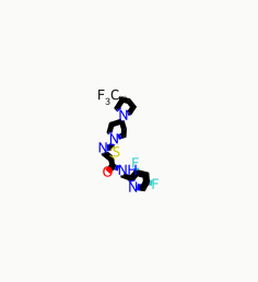 O=C(NCc1ncc(F)cc1F)c1cnc(N2CCC(N3CCC[C@H](C(F)(F)F)C3)CC2)s1